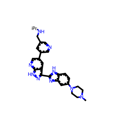 CC(C)NCc1cncc(-c2cnc3[nH]nc(-c4nc5cc(N6CCN(C)CC6)ccc5[nH]4)c3c2)c1